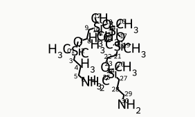 C[Si](C)(CCCN)OCC[Si](C)(C)O[Si](C)(C)O[Si](C)(C)CCO[Si](C)(C)CCCN